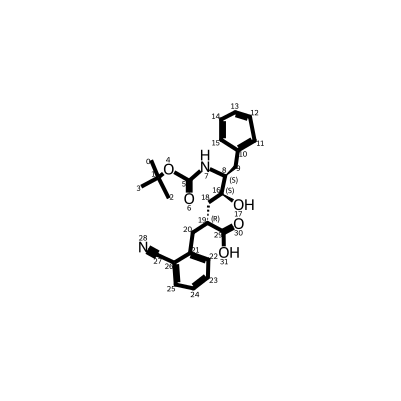 CC(C)(C)OC(=O)N[C@@H](Cc1ccccc1)[C@@H](O)C[C@@H](Cc1ccccc1C#N)C(=O)O